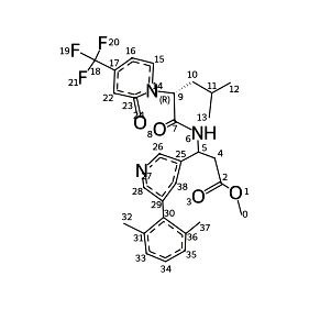 COC(=O)CC(NC(=O)[C@@H](CC(C)C)n1ccc(C(F)(F)F)cc1=O)c1cncc(-c2c(C)cccc2C)c1